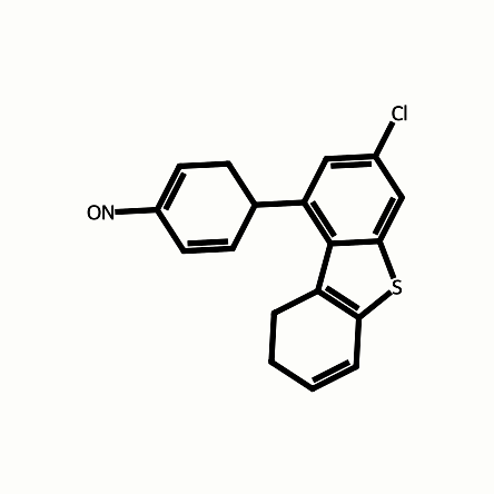 O=NC1=CCC(c2cc(Cl)cc3sc4c(c23)CCC=C4)C=C1